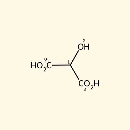 O=C(O)C(O)C(=O)O